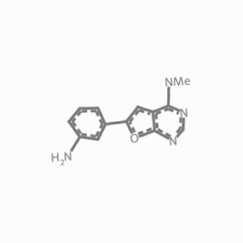 CNc1ncnc2oc(-c3cccc(N)c3)cc12